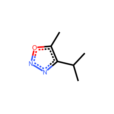 Cc1onnc1C(C)C